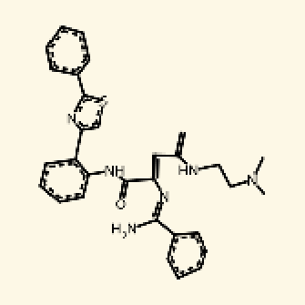 C=C(/C=C(\N=C(/N)c1ccccc1)C(=O)Nc1ccccc1-c1csc(-c2ccccc2)n1)NCCN(C)C